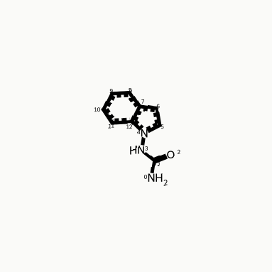 NC(=O)Nn1ccc2ccccc21